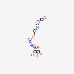 COc1ccc(N2CCOC3(CCN(Cc4cccc(CCOCCC(=O)N(C)CCNC[C@H](O)c5ccc(O)c6[nH]c(=O)ccc56)c4)CC3)C2)cc1